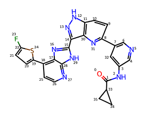 O=C(Nc1cncc(-c2ccc3[nH]nc(-c4nc5c(-c6ccc(F)s6)ccnc5[nH]4)c3n2)c1)C1CC1